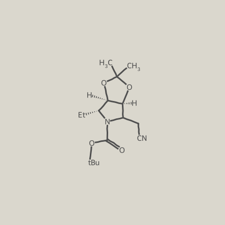 CC[C@@H]1[C@H]2OC(C)(C)O[C@H]2C(CC#N)N1C(=O)OC(C)(C)C